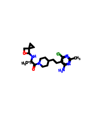 Cc1nc(N)c(CCC2CCN(C(=O)[C@H](C)NC3OCC34CC4)CC2)c(Cl)n1